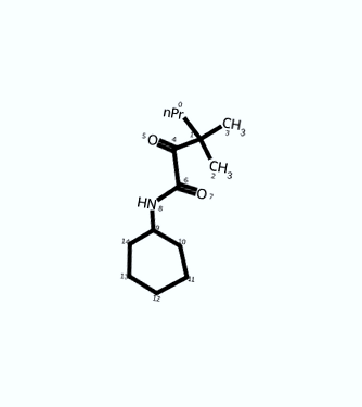 CCCC(C)(C)C(=O)C(=O)NC1CCCCC1